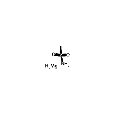 CS(N)(=O)=O.[MgH2]